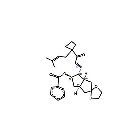 CC(C)=CCC1(C(=O)/C=C/[C@@H]2[C@H]3CC4(C[C@H]3C[C@H]2OC(=O)c2ccccc2)OCCO4)CCC1